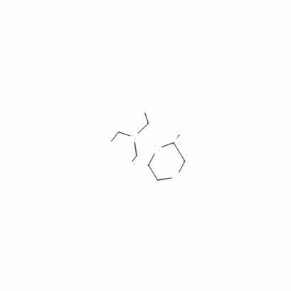 CCN(CC)CC.C[C@H]1COCCN1